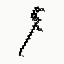 CCCCCCCCCCCCCCCCOCC(COP(=O)(O)Oc1cccc(CN2C=CN(C)C2)c1)OCC